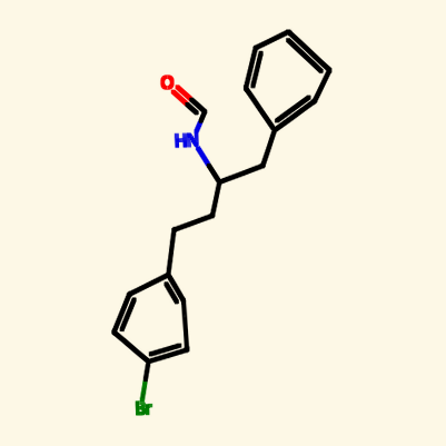 O=CNC(CCc1ccc(Br)cc1)Cc1ccccc1